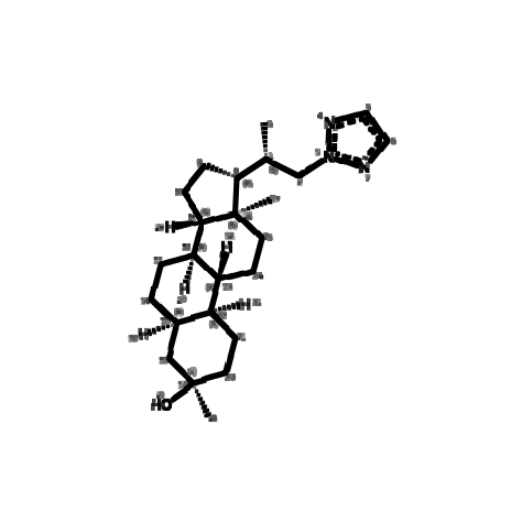 C[C@H](Cn1nccn1)[C@H]1CC[C@H]2[C@@H]3CC[C@@H]4C[C@](C)(O)CC[C@@H]4[C@H]3CC[C@]12C